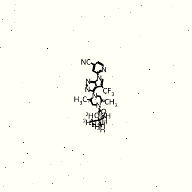 [2H]C([2H])([2H])C(OC(=O)N1C[C@@H](C)N(c2ncnc3c2c(C(F)(F)F)cn3-c2cc(C#N)ccn2)C[C@H]1C)(C([2H])([2H])[2H])C([2H])([2H])[2H]